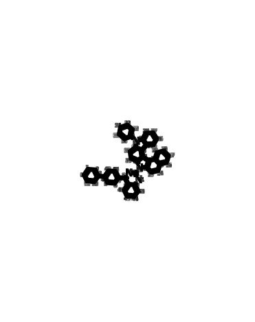 c1ccc(-c2ccc(-c3nc(-n4c5ccc6ccccc6c5c5c6c7ccccc7n(-c7ccccc7)c6ccc54)nc4ccccc34)cc2)cc1